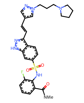 CNC(=O)c1cccc(F)c1NS(=O)(=O)c1ccc2c(/C=C/c3cnn(CCCN4CCCC4)c3)n[nH]c2c1